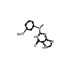 CSc1cccc(N(C)c2nc3nc[nH]c3c(=O)[nH]2)c1